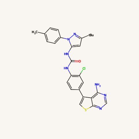 Cc1ccc(-n2nc(C(C)(C)C)cc2NC(=O)Nc2ccc(-c3csc4ncnc(N)c34)cc2Cl)cc1